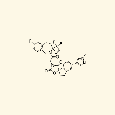 Cn1cc(-c2ccc3c(c2)CCC32OC(=O)N(CC(=O)N3Cc4ccc(F)cc4CCC3(O)C(F)(F)F)C2=O)cn1